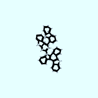 c1ccc2c(c1)oc1nc(-n3c4ccccc4c4c5c6ccccc6sc5c5ccccc5c43)nc(-c3cccc4c3sc3ccccc34)c12